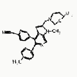 Cc1ccc(-c2ncc3c(cc(CN4CCC(N)CC4)n3C)c2-c2ccc(C#N)cc2)cc1